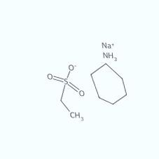 C1CCCCC1.CCS(=O)(=O)[O-].N.[Na+]